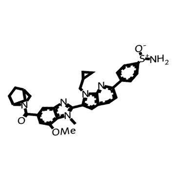 COc1cc(C(=O)N2CC3CCC2C3)cc2nc(-c3cc4ccc(-c5ccc([S+](N)[O-])cc5)nc4n3CC3CC3)n(C)c12